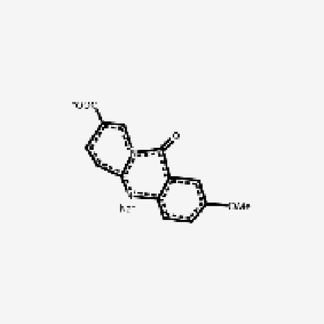 COc1ccc2nc3ccc(C(=O)[O-])cn3c(=O)c2c1.[Na+]